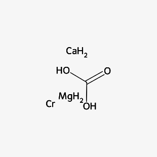 O=C(O)O.[CaH2].[Cr].[MgH2]